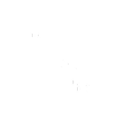 C/C=C/CCC1CCC(c2ccc(-c3cc(F)c(C[C@@H](C)c4ccccc4)c(F)c3)cc2)CC1